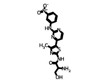 Cc1nc(NC(=O)C(N)CO)sc1-c1ccnc(Nc2cccc([N+](=O)[O-])c2)n1